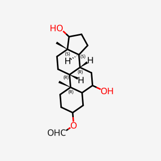 C[C@]12CCC(OC=O)CC1C(O)C[C@@H]1[C@H]2CC[C@]2(C)C(O)CC[C@@H]12